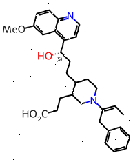 CC=C(Cc1ccccc1)N1CCC(CC[C@H](O)c2ccnc3ccc(OC)cc23)C(CCC(=O)O)C1